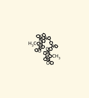 Cc1cc2c3c(c1)-n1c4c(cccc4c4oc5cc(N(c6ccccc6)c6ccc(-c7cccc(N(c8ccccc8)c8ccc9c%10c8c8oc%11ccccc%11c8n%10-c8cc(C)cc%10c8B9c8cccc9c%11oc%12ccccc%12c%11n-%10c89)c7)cc6)ccc5c41)B3c1cccc3c4oc5ccccc5c4n-2c13